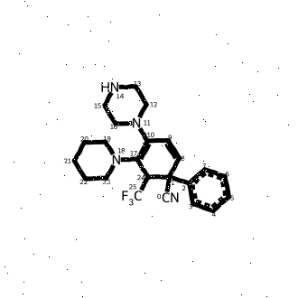 N#CC1(c2ccccc2)C=CC(N2CCNCC2)=C(N2CCCCC2)C1C(F)(F)F